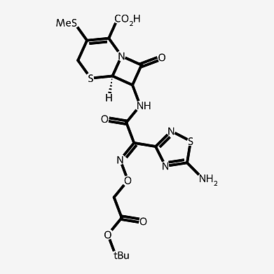 CSC1=C(C(=O)O)N2C(=O)C(NC(=O)/C(=N/OCC(=O)OC(C)(C)C)c3nsc(N)n3)[C@H]2SC1